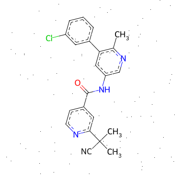 Cc1ncc(NC(=O)c2ccnc(C(C)(C)C#N)c2)cc1-c1cccc(Cl)c1